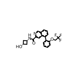 O=C(N[C@H]1C[C@@H](O)C1)c1cc2c(-c3ccccc3OCC(F)(F)F)cccc2cn1